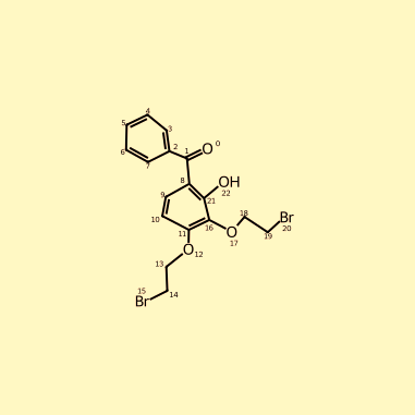 O=C(c1ccccc1)c1ccc(OCCBr)c(OCCBr)c1O